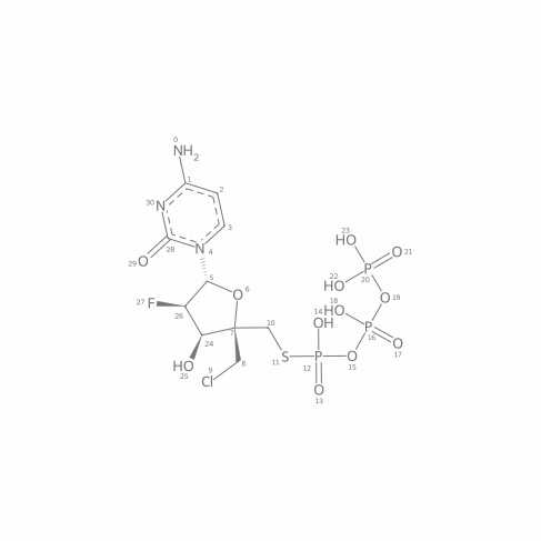 Nc1ccn([C@@H]2O[C@](CCl)(CSP(=O)(O)OP(=O)(O)OP(=O)(O)O)[C@@H](O)[C@H]2F)c(=O)n1